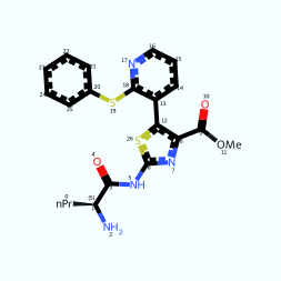 CCC[C@H](N)C(=O)Nc1nc(C(=O)OC)c(-c2cccnc2Sc2ccccc2)s1